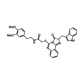 COc1ccc(CCNC(=O)CSC2=Nc3ccccc3C3=NC(Cc4c[nH]c5ccccc45)C(=O)N23)cc1OC